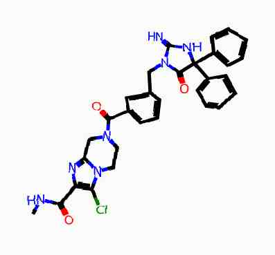 CNC(=O)c1nc2n(c1Cl)CCN(C(=O)c1cccc(CN3C(=N)NC(c4ccccc4)(c4ccccc4)C3=O)c1)C2